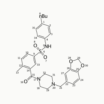 CCCCc1ccc(NS(=O)(=O)c2ccc(C)c(C(=O)N3CCN(Cc4ccc5c(c4)OCO5)CC3)c2)cc1